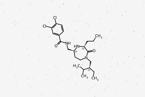 CCC[C@@H]1N[C@H](CNC(=O)c2ccc(Cl)c(Cl)c2)CCN(C[C@@H](CC)C(C)C)C1=O